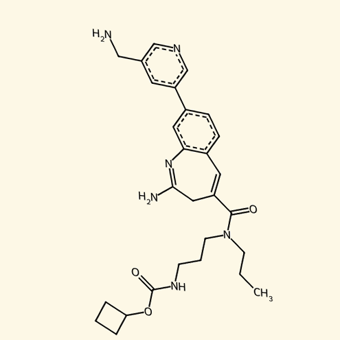 CCCN(CCCNC(=O)OC1CCC1)C(=O)C1=Cc2ccc(-c3cncc(CN)c3)cc2N=C(N)C1